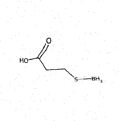 BSCCC(=O)O